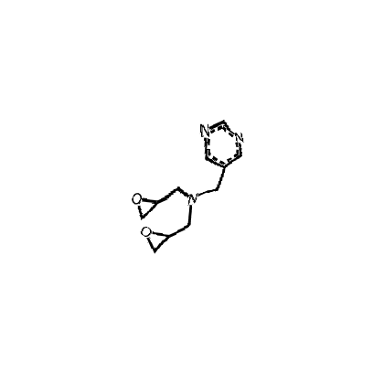 c1ncc(CN(CC2CO2)CC2CO2)cn1